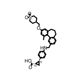 Cc1cc(OCC2CCS(=O)(=O)CC2)cc2c1-c1cc(CNc3ccc([C@H]4C[C@@H]4C(=O)O)cc3)ccc1CCC2